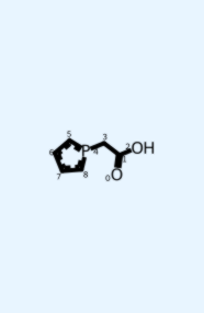 O=C(O)Cp1cccc1